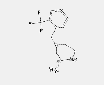 C[C@@H]1CN(Cc2cc[c]cc2C(F)(F)F)CCN1